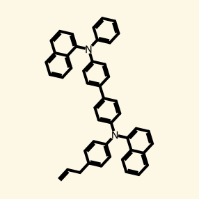 C=CCc1ccc(N(c2ccc(-c3ccc(N(c4ccccc4)c4cccc5ccccc45)cc3)cc2)c2cccc3ccccc23)cc1